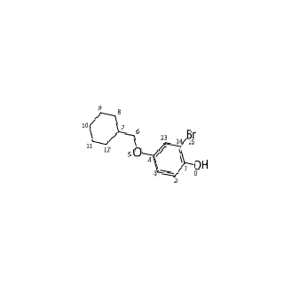 Oc1ccc(OCC2CCCCC2)cc1Br